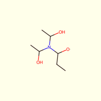 CCC([O])N(C(C)O)C(C)O